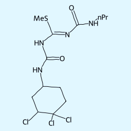 CCCNC(=O)N=C(NC(=O)NC1CCC(Cl)(Cl)C(Cl)C1)SC